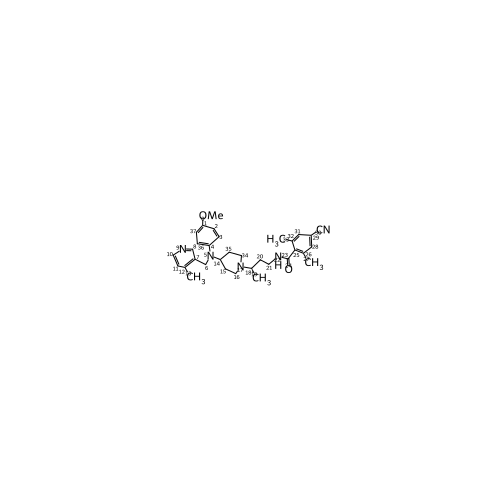 COc1ccc(N(Cc2cnccc2C)C2CCN([C@H](C)CCNC(=O)c3c(C)cc(C#N)cc3C)CC2)cc1